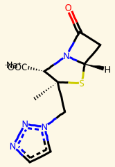 C[C@@]1(Cn2ccnn2)S[C@H]2CC(=O)N2[C@H]1C(=O)[O-].[Na+]